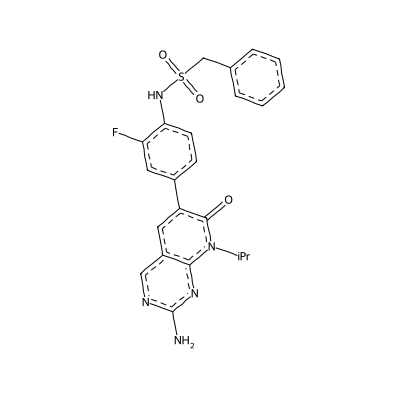 CC(C)n1c(=O)c(-c2ccc(NS(=O)(=O)Cc3ccccc3)c(F)c2)cc2cnc(N)nc21